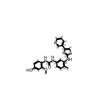 COc1cc(O)ccc1NC(=O)Nc1ccc(C)c(Nc2nc(-c3cccnc3)cs2)c1